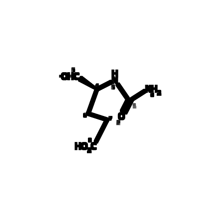 NC(=O)N[C@H]([C]=O)CCC(=O)O